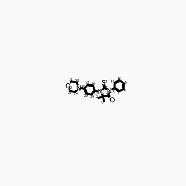 CC1(C)C(=O)N(c2ccccc2)C(=S)N1c1ccc(N2CCOCC2)cc1